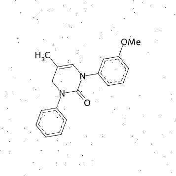 COc1cccc(N2C=C(C)CN(c3ccccc3)C2=O)c1